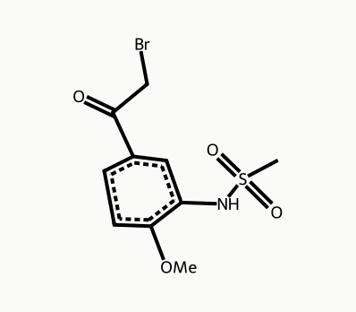 COc1ccc(C(=O)CBr)cc1NS(C)(=O)=O